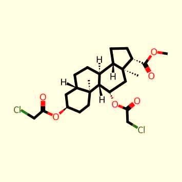 COC(=O)[C@H]1CC[C@H]2[C@@H]3CC[C@H]4C[C@H](OC(=O)CCl)CC[C@]4(C)[C@H]3[C@@H](OC(=O)CCl)C[C@]12C